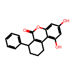 O=c1oc2cc(O)cc(O)c2c2c1C(c1ccccc1)CCC2